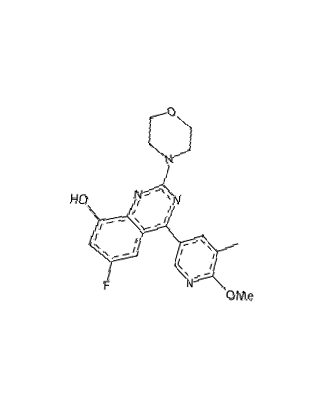 COc1ncc(-c2nc(N3CCOCC3)nc3c(O)cc(F)cc23)cc1C